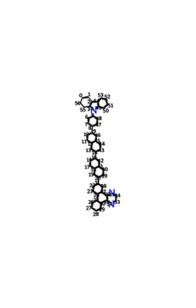 C1=Cc2c(n(-c3ccc(-c4ccc5cc(-c6ccc7cc(-c8ccc9c%10ccccc%10c%10nccnc%10c9c8)ccc7c6)ccc5c4)cc3)c3ccccc23)CC1